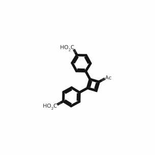 CC(=O)C1=CC(c2ccc(C(=O)O)cc2)=C1c1ccc(C(=O)O)cc1